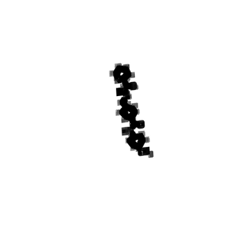 Cc1ccc(NC(=O)c2ccc(C=NNC(=O)c3ccccn3)cc2)cc1